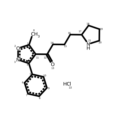 Cc1onc(-c2ccccc2)c1C(=O)CCCC1CCCN1.Cl